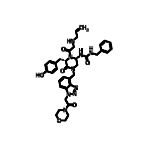 C=CCNCC(=O)N1[C@@H](NC(=O)NCc2ccccc2)CN(Cc2cccc3c2nnn3CC(=O)N2CCOCC2)C(=O)[C@@H]1Cc1ccc(O)cc1